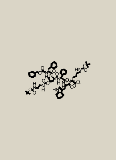 COC(=O)[C@H](CCCCNC(=O)OC(C)(C)C)NC(=O)[C@@H](Cc1c[nH]c2ccccc12)NC(=O)C(NC(=O)[C@@H]1C[C@@H](OC(=O)NCCNC(=O)OC(C)(C)C)CN1C(=O)[C@H](Cc1ccccc1)NC(=O)OCc1ccccc1)c1ccccc1